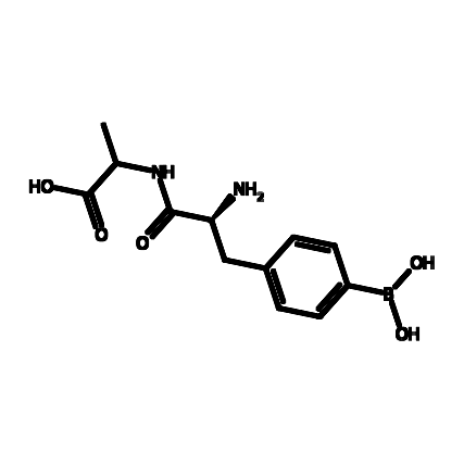 CC(NC(=O)[C@@H](N)Cc1ccc(B(O)O)cc1)C(=O)O